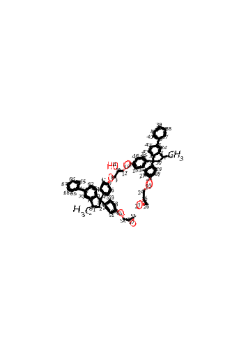 CC1CC(c2ccc(OCC(O)COc3ccc(C4(c5ccc(OCC6CO6)cc5)CC(C)c5cc(-c6ccccc6)ccc54)cc3)cc2)(c2ccc(OCC3CO3)cc2)c2ccc(-c3ccccc3)cc21